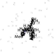 C=C[C@H]1CC1(NC(=O)[C@@H]1C[C@@H](N(N)/N=C(\N)c2ccc(OC)cc2)CN1C(=O)C(N)CCC(=O)C=C(C)C)C(=O)NS(=O)(=O)C1CC1